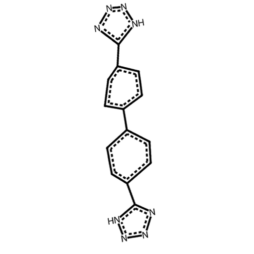 c1cc(-c2nnn[nH]2)ccc1-c1ccc(-c2nnn[nH]2)cc1